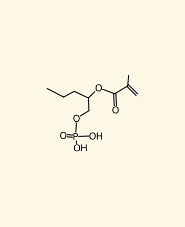 C=C(C)C(=O)OC(CCC)COP(=O)(O)O